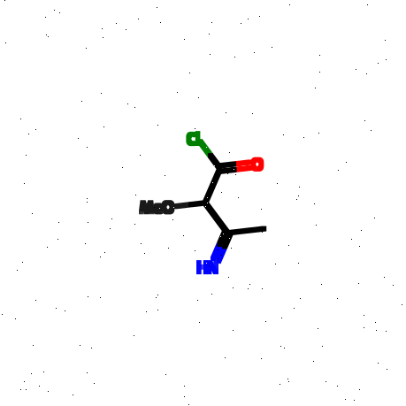 COC(C(C)=N)C(=O)Cl